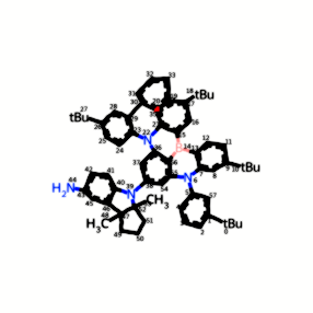 CC(C)(C)c1cccc(N2c3cc(C(C)(C)C)ccc3B3c4cc(C(C)(C)C)ccc4N(c4ccc(C(C)(C)C)cc4-c4ccccc4)c4cc(N5c6ccc(N)cc6C6(C)CCCC56C)cc2c43)c1